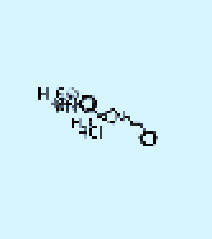 CC1(c2cccc(NS(C)(=O)=O)c2)C2CN(CCCc3ccccc3)CC21.Cl